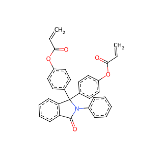 C=CC(=O)Oc1ccc(C2(c3ccc(OC(=O)C=C)cc3)c3ccccc3C(=O)N2c2ccccc2)cc1